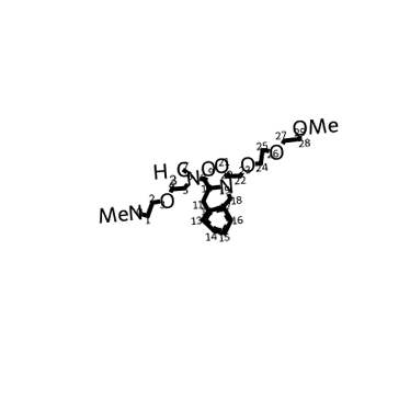 CNCCOCCN(C)C(=O)C1Cc2ccccc2CN1C(=O)COCCOCCOC